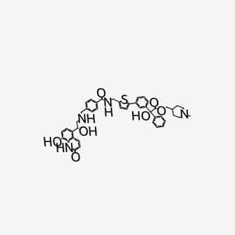 CN1CCC(COC(=O)C(O)(c2ccccc2)c2cccc(-c3ccc(CNC(=O)c4ccc(CNC[C@H](O)c5ccc(O)c6[nH]c(=O)ccc56)cc4)s3)c2)CC1